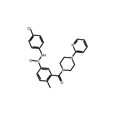 Cc1ccc([S+]([O-])Nc2ccc(Cl)cc2)cc1C(=O)N1CCN(c2ccccn2)CC1